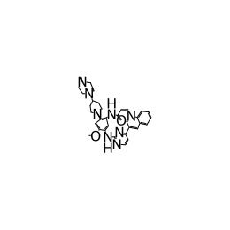 C=CC(=O)Nc1cc(Nc2nccc(-c3cnc4ccccc4c3)n2)c(OC)cc1N1CCC(N2CCN(C)CC2)CC1